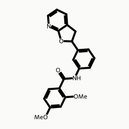 COc1ccc(C(=O)Nc2cccc(C3Cc4cccnc4O3)c2)c(OC)c1